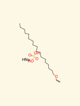 C=COCCCCCCCCCCCCCCCCCC.O=S(=O)(O)O.[NaH]